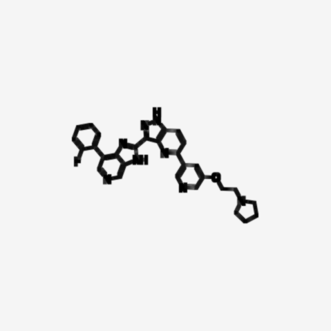 Fc1ccccc1-c1cncc2[nH]c(-c3n[nH]c4ccc(-c5cncc(OCCN6CCCC6)c5)nc34)nc12